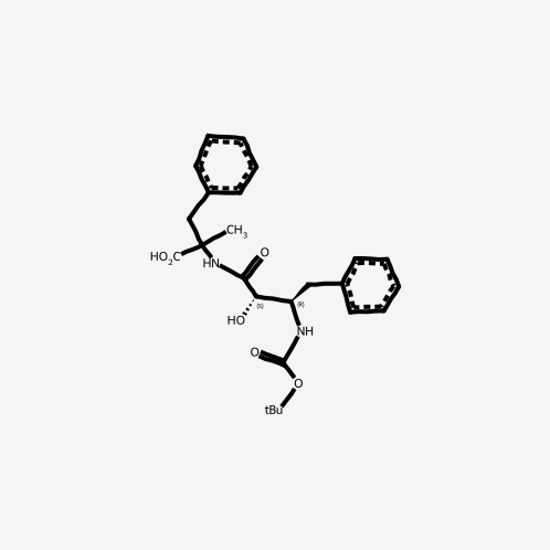 CC(C)(C)OC(=O)N[C@H](Cc1ccccc1)[C@H](O)C(=O)NC(C)(Cc1ccccc1)C(=O)O